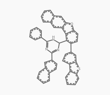 c1ccc(C2=NC(c3ccc4ccccc4c3)=NC(c3c(-c4ccc5c(c4)sc4ccccc45)ccc4oc5cc6ccccc6cc5c34)N2)cc1